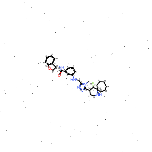 Cn1c(CNc2cccc(C(=O)N[C@@H]3COc4ccccc43)c2)nnc1C1CCNC2(CCCCCC2)C1F